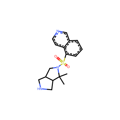 CC1(C)C2CNCC2CN1S(=O)(=O)c1cccc2cnccc12